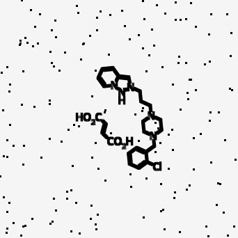 Clc1ccccc1CN1CCN(CCCN2C=C3C=CC=CN3N2)CC1.O=C(O)C=CC(=O)O